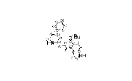 CCCCOc1ccc2[nH]ccc2c1C=CCC1CC(c2ccccc2)=CCN1